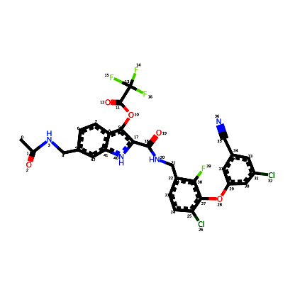 CC(=O)NCc1ccc2c(OC(=O)C(F)(F)F)c(C(=O)NCc3ccc(Cl)c(Oc4cc(Cl)cc(C#N)c4)c3F)[nH]c2c1